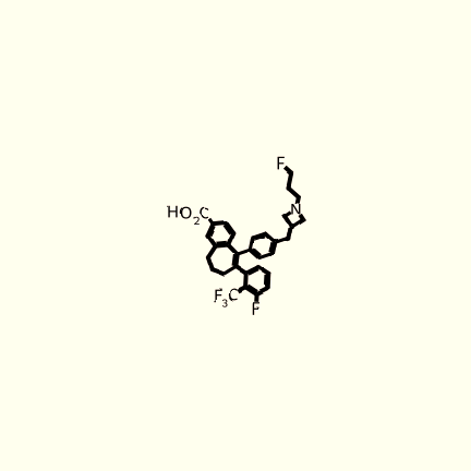 O=C(O)c1ccc2c(c1)CCCC(c1cccc(F)c1C(F)(F)F)=C2c1ccc(CC2CN(CCCF)C2)cc1